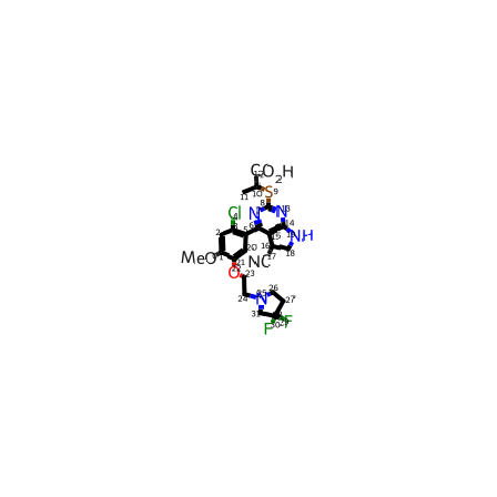 COc1cc(Cl)c(-c2nc(SC(C)C(=O)O)nc3c2C(C#N)CN3)cc1OCCN1CCC(F)(F)C1